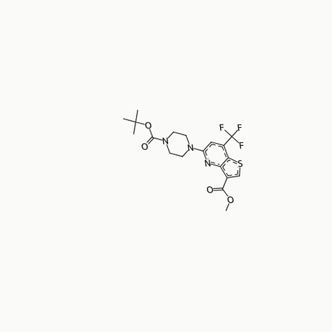 COC(=O)c1csc2c(C(F)(F)F)cc(N3CCN(C(=O)OC(C)(C)C)CC3)nc12